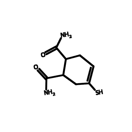 NC(=O)C1CC=C(S)CC1C(N)=O